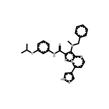 CC(C)Oc1cccc(NC(=O)c2nn3c(-c4cn[nH]c4)ccnc3c2N(C)Cc2ccccc2)c1